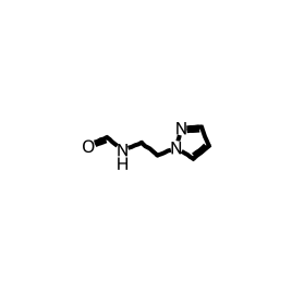 O=CNCCn1cccn1